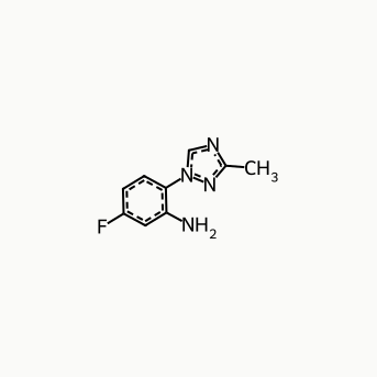 Cc1ncn(-c2ccc(F)cc2N)n1